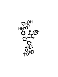 CC(C)(C)OC(=O)N1CCC[C@H]1c1nc2ccc([C@@H]3CC[C@@H](c4ccc(NC(=O)[C@@H]5CCCN5C(=O)O)cc4)N3c3cc(F)c(N4CC[Si](C)(C)CC4)c(F)c3)cc2[nH]1